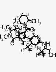 CCC(Nc1cc(C(F)(F)F)c(-c2sc(C(=O)N(C)C(C)C(C)(C)O)nc2C(=O)N2CCCCC2C)cn1)C(F)(F)F